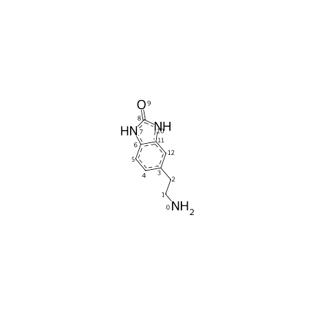 NCCc1ccc2[nH]c(=O)[nH]c2c1